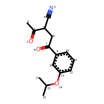 CC(=O)C(C#N)CC(=O)c1cccc(OC(C)C)c1